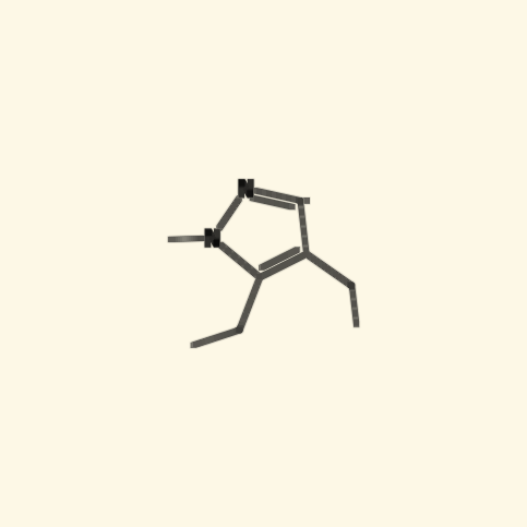 CCc1[c]nn(C)c1CC